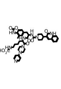 Cc1cc(CC(NC(=O)N2CCC(c3cc4ccccc4[nH]c3=O)CC2)C(=O)NC(CCCCNC(=O)O)C(=O)N2CCN(c3ccncc3)CC2)cc2oc(=O)[nH]c12